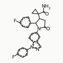 NC(=O)C1(C2CC(=O)N(c3ccc4c(cnn4-c4ccc(F)cc4)c3)C2c2ccc(F)cc2)CC1